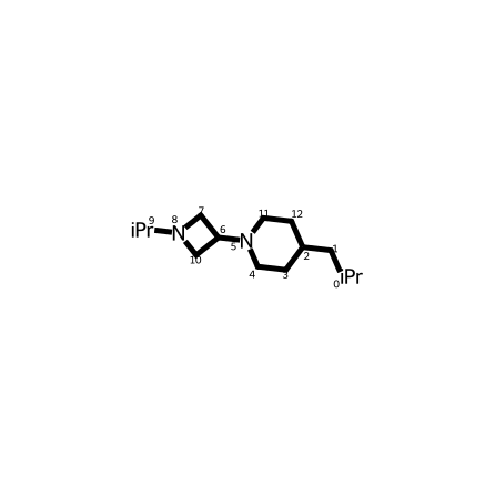 CC(C)CC1CCN(C2CN(C(C)C)C2)CC1